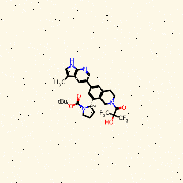 Cc1c[nH]c2ncc(-c3cc4c(c([C@@H]5CCCN5C(=O)OC(C)(C)C)c3)CN(C(=O)C(O)(C(F)(F)F)C(F)(F)F)CC4)cc12